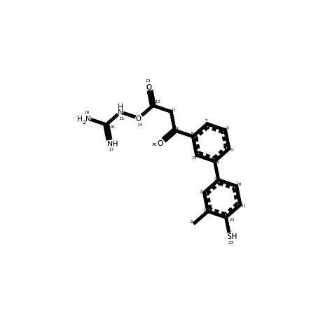 Cc1cc(-c2cccc(C(=O)CC(=O)ONC(=N)N)c2)ccc1S